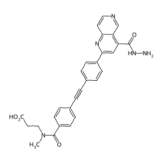 CN(CCC(=O)O)C(=O)c1ccc(C#Cc2ccc(-c3cc(C(=O)NN)c4cnccc4n3)cc2)cc1